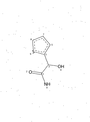 [NH]C(=O)C(O)c1cccs1